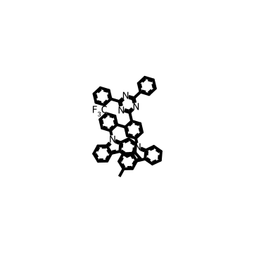 Cc1ccc2c(c1)c1ccccc1n2-c1ccc(-c2nc(-c3ccccc3)nc(-c3ccccc3)n2)c(-c2cc(C(F)(F)F)ccc2-n2c3ccccc3c3cc(C)ccc32)c1